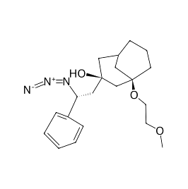 COCCO[C@@]12CCCC(C[C@@](O)(C[C@@H](N=[N+]=[N-])c3ccccc3)C1)C2